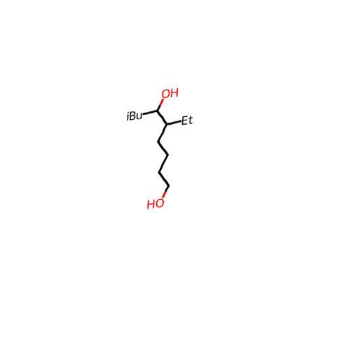 CCC(C)C(O)C(CC)CCCCO